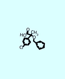 CC(OCc1ccccc1)(C(=O)O)c1ccc(Cl)cc1